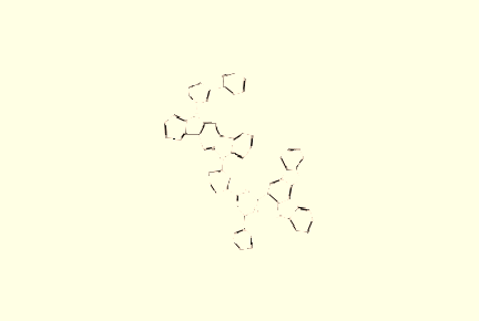 c1ccc(-c2cccc(-n3c4ccccc4c4cc5c(cc43)c3ccccc3n5-c3cccc(C4=NC(c5ccccc5)NC(c5cc6c7ccccc7oc6c6c5sc5ccccc56)N4)c3)c2)cc1